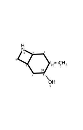 C[C@H]1CC2NCC2C[C@H]1O